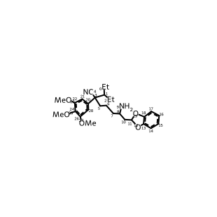 CCC(CC)C(C#N)(CCCC(N)CC1Oc2ccccc2O1)c1cc(OC)c(OC)c(OC)c1